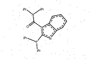 CC(C)N(C(=O)n1c(P(C(C)C)C(C)C)nc2ccccc21)C(C)C